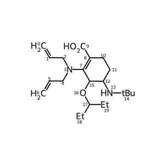 C=CCN(CC=C)C1=C(C(=O)O)CCC(NC(C)(C)C)C1OC(CC)CC